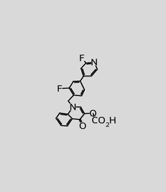 O=C(O)Oc1cn(Cc2ccc(-c3ccnc(F)c3)cc2F)c2ccccc2c1=O